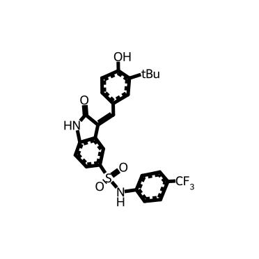 CC(C)(C)c1cc(C=C2C(=O)Nc3ccc(S(=O)(=O)Nc4ccc(C(F)(F)F)cc4)cc32)ccc1O